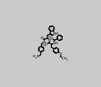 CCOc1ccc(CC(NC(=O)c2ccccc2)C(=O)NC(Cc2c[nH]c3ccccc23)C(=O)NCc2ccc(CN)cc2)cc1